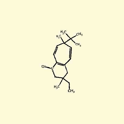 CCC1(C)CC2=C(C=CC(C)(C(C)(C)C)C=C2)[S+]([O-])C1